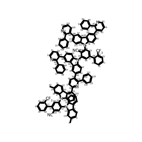 Cc1ccc2c3ccccc3n(-c3cc(C#N)c(-c4ccccc4C(F)(F)F)cc3-n3c4cc(C)ccc4c4c(-c5ccc(-c6ccc7c(c6)c6cc(-c8cccnc8-c8ccccc8)ccc6n7-c6cc(-c7ccccc7C(F)(F)F)cc(-n7c8ccc(-c9cccnc9-c9ccccc9)cc8c8cc(-c9cccnc9-c9ccccc9)ccc87)c6C#N)c(-c6ccccc6)n5)cccc43)c2c1